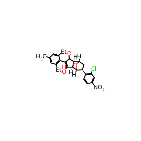 CCc1cc(C)cc(CC)c1C1=C(O)[C@@H]2[C@@H]3O[C@@H](C[C@H]3c3ccc([N+](=O)[O-])cc3Cl)[C@@H]2C1=O